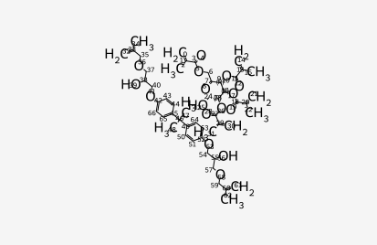 C=C(C)C(=O)OCC(=O)[C@H](OC(=O)C(=C)C)[C@@H](OC(=O)C(=C)C)[C@@H](CO)OC(=O)C(=C)C.C=C(C)COCC(O)COc1ccc(C(C)(C)c2ccc(OCC(O)COCC(=C)C)cc2)cc1